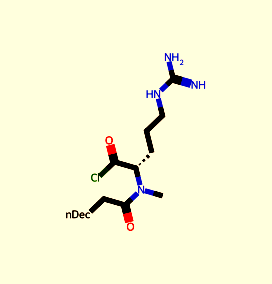 CCCCCCCCCCCC(=O)N(C)[C@@H](CCCNC(=N)N)C(=O)Cl